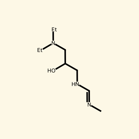 CCN(CC)CC(O)CN/C=N/C